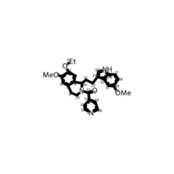 CCOc1cc2c(cc1OC)CCN(C(=O)c1ccncc1)C2CCc1c[nH]c2ccc(OC)cc12